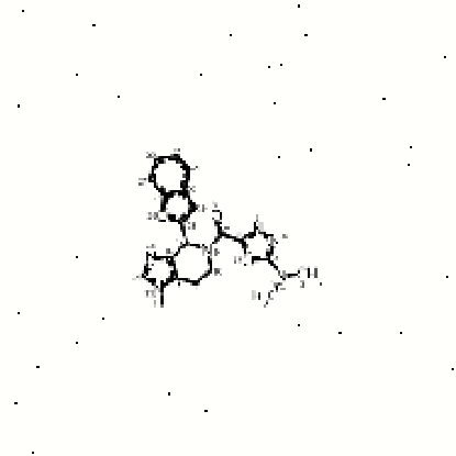 CN(C)c1nnc(C(=O)N2CCc3[nH]cnc3[C@H]2c2cc3ccccc3o2)o1